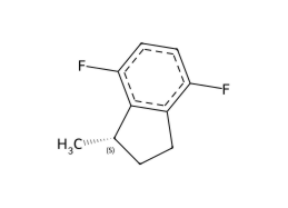 C[C@H]1CCc2c(F)ccc(F)c21